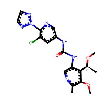 COc1c(C)ncc(NC(=O)Nc2cnc(-n3nccn3)c(Cl)c2)c1[C@H](C)OC